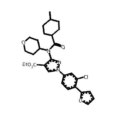 CCOC(=O)c1cn(-c2ccc(-c3ccco3)c(Cl)c2)nc1N(C(=O)C1CCC(C)CC1)C1CCOCC1